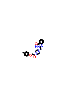 Cc1ccc(OCC(=O)N2CCN(Cc3nc4ccccc4c(=O)[nH]3)CC2)cc1